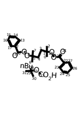 CC(C)(CCC(C)(C)OOC(=O)c1ccccc1)OOC(=O)c1ccccc1.CCCCC(C)(C)OC(=O)O